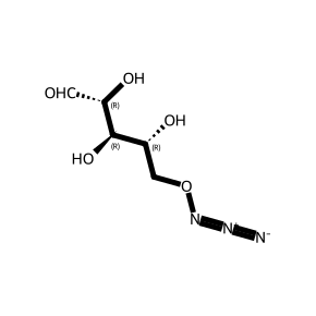 [N-]=[N+]=NOC[C@@H](O)[C@@H](O)[C@@H](O)C=O